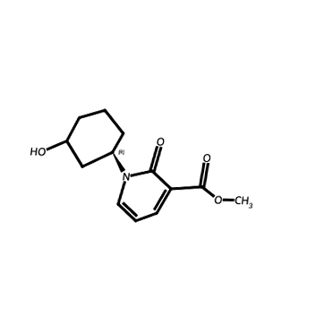 COC(=O)c1cccn([C@@H]2CCCC(O)C2)c1=O